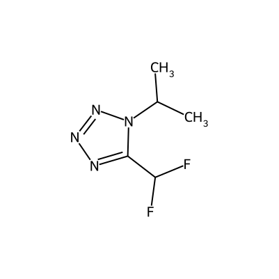 CC(C)n1nnnc1C(F)F